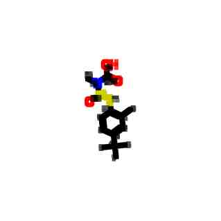 Cc1cc(C(C)(C)C)ccc1S[S+]([O-])N(C)C(=O)O